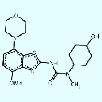 COc1ccc(N2CCOCC2)c2sc(NC(=O)N(C)C3CCC(O)CC3)nc12